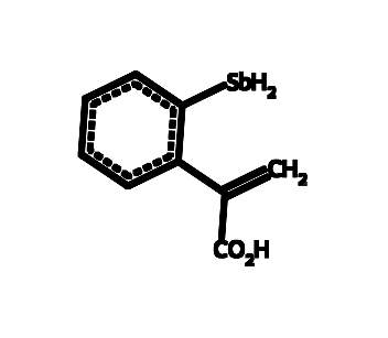 C=C(C(=O)O)c1cccc[c]1[SbH2]